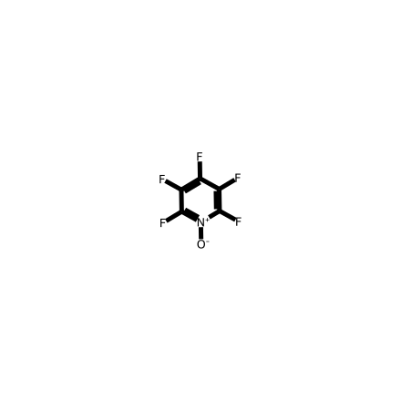 [O-][n+]1c(F)c(F)c(F)c(F)c1F